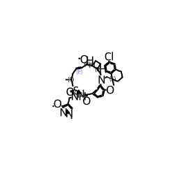 COc1nn(C)cc1CN[S@@]1(=O)=NC(=O)c2ccc3c(c2)N(C[C@@H]2CC[C@H]2[C@@H](OC)/C=C/C[C@H](C)C1)C[C@@]1(CCCc2cc(Cl)ccc21)CO3